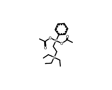 CC[Si](CC)(CC)CC[Si](OC(C)=O)(OC(C)=O)c1ccccc1